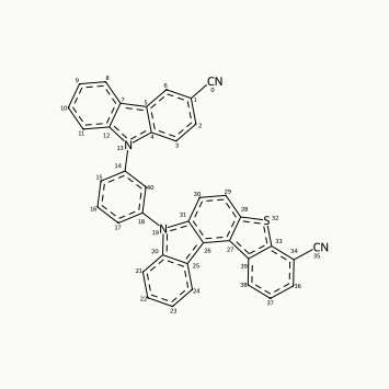 N#Cc1ccc2c(c1)c1ccccc1n2-c1cccc(-n2c3ccccc3c3c4c(ccc32)sc2c(C#N)cccc24)c1